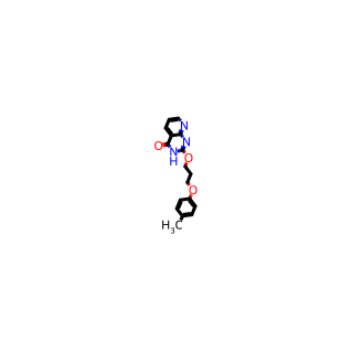 Cc1ccc(OCCCOc2nc3ncccc3c(=O)[nH]2)cc1